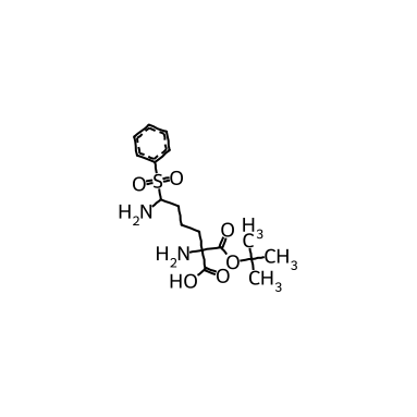 CC(C)(C)OC(=O)C(N)(CCCC(N)S(=O)(=O)c1ccccc1)C(=O)O